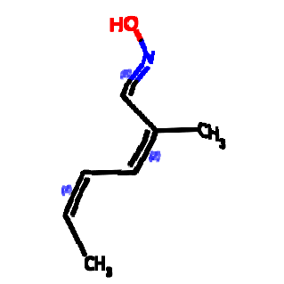 C\C=C/C=C(C)\C=N\O